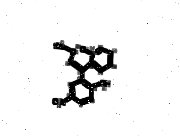 CC(C)(C)ON=C(c1cc([N+](=O)[O-])ccc1O)c1cccc[n+]1[O-]